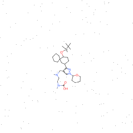 CN(CCN(C)C(=O)O)Cc1cn(C2CCCCO2)nc1C1CCC(O[Si](C)(C)C(C)(C)C)C2(CCCCC2)C1